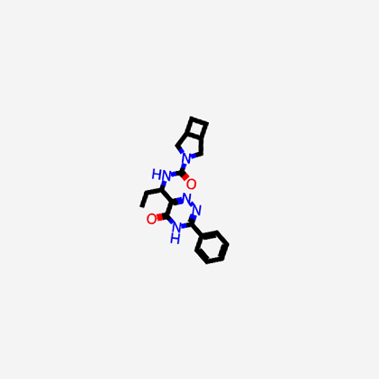 CCC(NC(=O)N1CC2CCC2C1)c1nnc(-c2ccccc2)[nH]c1=O